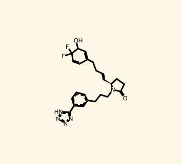 O=C1CC[C@H](C=CCCC2=CC(O)C(F)(F)C=C2)N1CCCc1cccc(-c2nnn[nH]2)c1